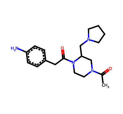 CC(=O)N1CCN(C(=O)Cc2ccc(N)cc2)C(CN2CCCC2)C1